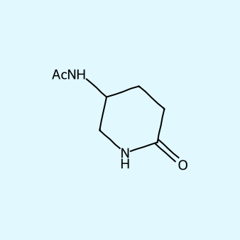 CC(=O)NC1CCC(=O)NC1